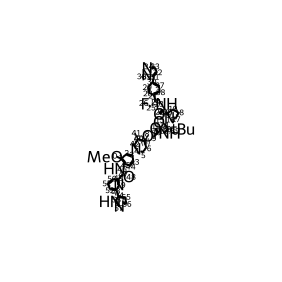 COc1cc(N2CC[C@H](OCC(=O)N[C@H](C(=O)N3CCC[C@H]3C(=O)N[C@H](CF)c3ccc(-c4ccnn4C)cc3)C(C)(C)C)[C@H](C)C2)ccc1NC(=O)c1cccc(-c2ccn[nH]2)n1